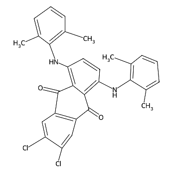 Cc1cccc(C)c1Nc1ccc(Nc2c(C)cccc2C)c2c1C(=O)c1cc(Cl)c(Cl)cc1C2=O